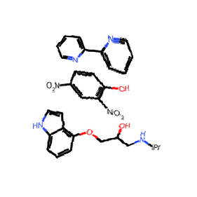 CC(C)NCC(O)COc1cccc2[nH]ccc12.O=[N+]([O-])c1ccc(O)c([N+](=O)[O-])c1.c1ccc(-c2ccccn2)nc1